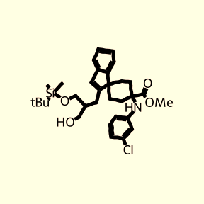 COC(=O)C1(Nc2cccc(Cl)c2)CCC2(CC1)C(CC(CO)CO[Si](C)(C)C(C)(C)C)=Cc1ccccc12